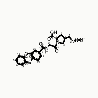 [N-]=[N+]=NCC1C[C@@H](C(=O)O)N(C(=O)CNC(=O)c2ccc3c(c2)Oc2ccccc2S3)C1